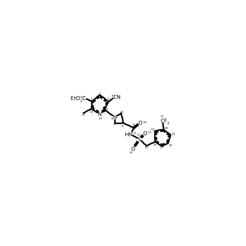 CCOC(=O)c1cc(C#N)c(N2CC(C(=O)NS(=O)(=O)Cc3cccc(C(F)(F)F)c3)C2)nc1C